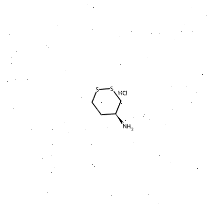 Cl.N[C@H]1CCSSC1